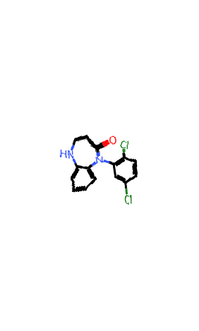 O=C1CCNc2ccccc2N1c1cc(Cl)ccc1Cl